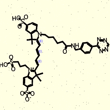 CC1(C)C(/C=C/C=C/C=C2/N(CCCCCC(=O)NCc3ccc(-c4nncnn4)cc3)c3ccc(S(=O)(=O)O)cc3C2(C)C)=[N+](CCCS(=O)(=O)O)c2ccc(S(=O)(=O)[O-])cc21